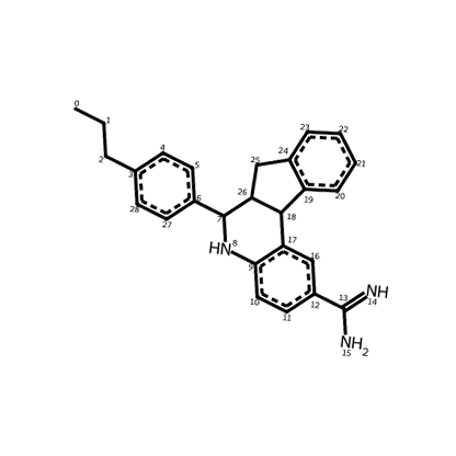 CCCc1ccc(C2Nc3ccc(C(=N)N)cc3C3c4ccccc4CC23)cc1